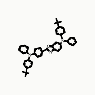 CC(C)(C)c1ccc(N(c2ccccc2)c2ccc(-c3nc4ccc(N(c5ccccc5)c5ccc(C(C)(C)C)cc5)cc4o3)cc2)cc1